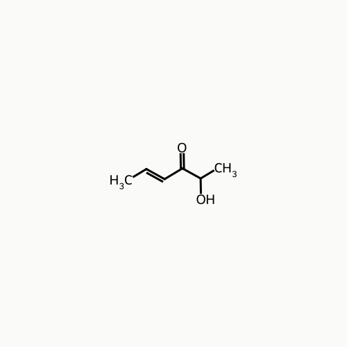 CC=CC(=O)C(C)O